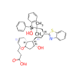 CC(C)(C[C@H](/C=C/[C@H]1[C@H](O)CC(=O)[C@@H]1C/C=C\CCCC(=O)O)c1nc2ccccc2s1)[Si](O)(c1ccccc1)c1ccccc1